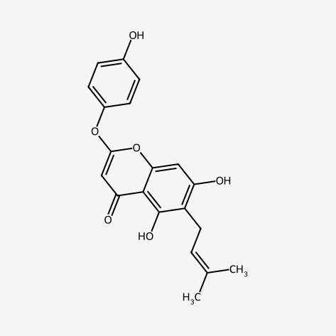 CC(C)=CCc1c(O)cc2oc(Oc3ccc(O)cc3)cc(=O)c2c1O